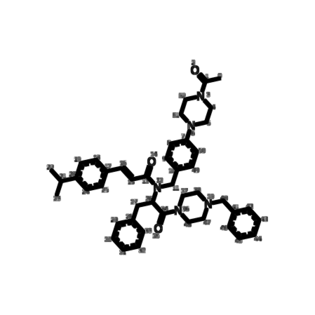 CC(=O)N1CCN(c2ccc(CN(C(=O)C=Cc3ccc(C(C)C)cc3)C(Cc3ccccc3)C(=O)N3CCN(Cc4ccccc4)CC3)cc2)CC1